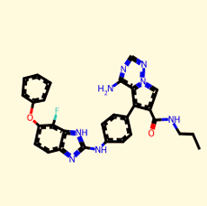 CCCNC(=O)c1cn2ncnc(N)c2c1-c1ccc(Nc2nc3ccc(Oc4ccccc4)c(F)c3[nH]2)cc1